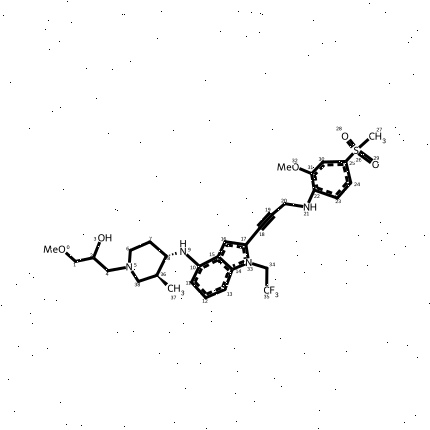 COCC(O)CN1CC[C@H](Nc2cccc3c2cc(C#CCNc2ccc(S(C)(=O)=O)cc2OC)n3CC(F)(F)F)[C@@H](C)C1